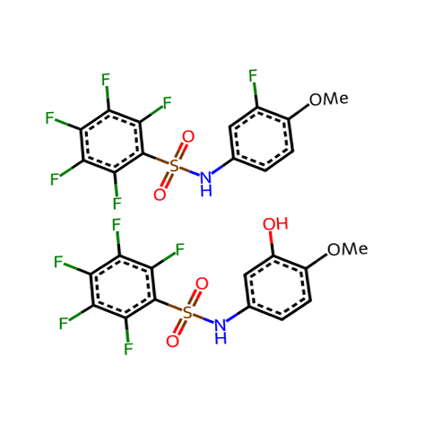 COc1ccc(NS(=O)(=O)c2c(F)c(F)c(F)c(F)c2F)cc1F.COc1ccc(NS(=O)(=O)c2c(F)c(F)c(F)c(F)c2F)cc1O